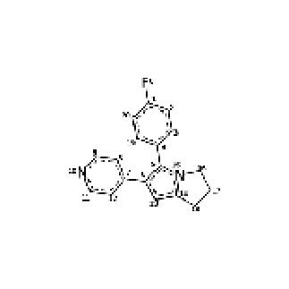 Fc1ccc(-c2c(-c3ccncc3)cc3n2CCC3)cc1